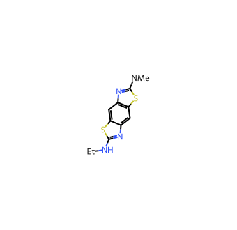 CCNc1nc2cc3sc(NC)nc3cc2s1